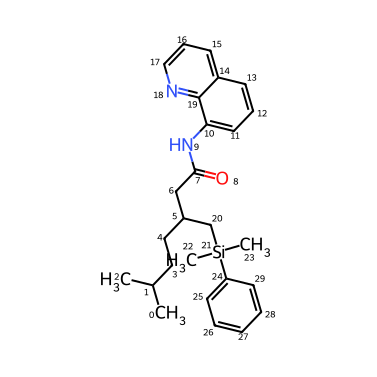 CC(C)CCC(CC(=O)Nc1cccc2cccnc12)C[Si](C)(C)c1ccccc1